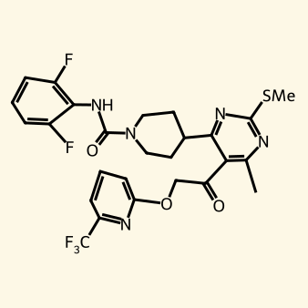 CSc1nc(C)c(C(=O)COc2cccc(C(F)(F)F)n2)c(C2CCN(C(=O)Nc3c(F)cccc3F)CC2)n1